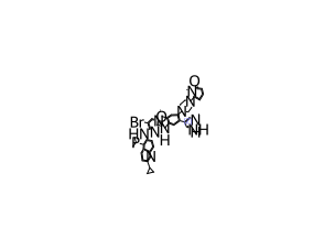 CN/C=C(\C=N)c1cc(Nc2ncc(Br)c(Nc3ccc4nc(C5CC5)ccc4c3P(C)C)n2)c(OC)cc1N1CCN(c2cccc(=O)n2C)CC1